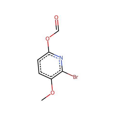 COc1ccc(OC=O)nc1Br